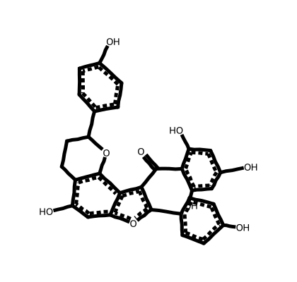 O=C(c1c(O)cc(O)cc1O)c1c(-c2ccc(O)cc2)oc2cc(O)c3c(c12)OC(c1ccc(O)cc1)CC3